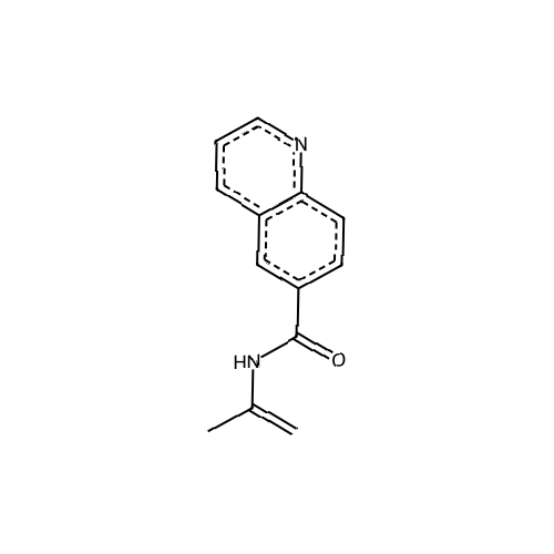 C=C(C)NC(=O)c1ccc2ncccc2c1